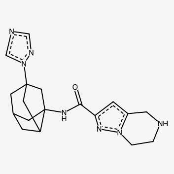 O=C(NC12CC3CC1CC(n1cncn1)(C3)C2)c1cc2n(n1)CCNC2